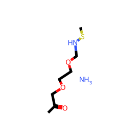 CSNCOCCOCC(C)=O.N